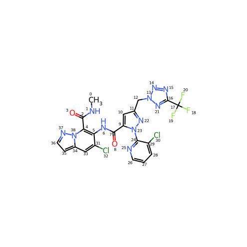 CNC(=O)c1c(NC(=O)c2cc(Cn3nnc(C(F)(F)F)n3)nn2-c2ncccc2Cl)c(Cl)cc2ccnn12